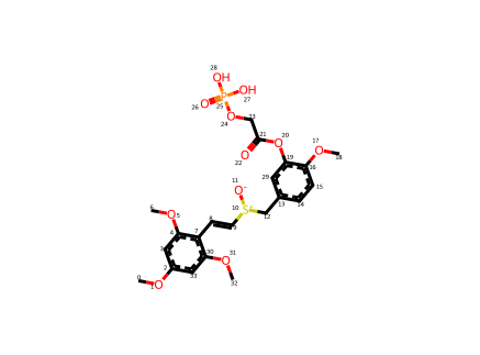 COc1cc(OC)c(/C=C/[S+]([O-])Cc2ccc(OC)c(OC(=O)COP(=O)(O)O)c2)c(OC)c1